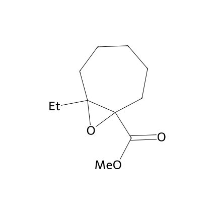 CCC12CCCCCC1(C(=O)OC)O2